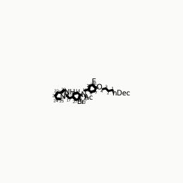 CCCCCCCCCCCCCCOc1ccc(CN(C(C)=O)c2ccc(Cc3[nH]cc4cccc[n+]34)cc2)cc1F.[Br-]